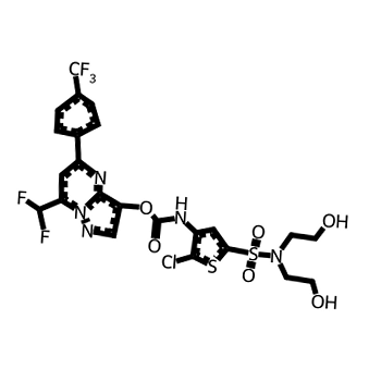 O=C(Nc1cc(S(=O)(=O)N(CCO)CCO)sc1Cl)Oc1cnn2c(C(F)F)cc(-c3ccc(C(F)(F)F)cc3)nc12